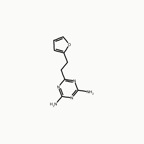 Nc1nc(N)nc(CCc2ccco2)n1